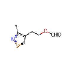 Cc1nscc1CCOC=O